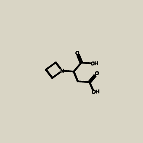 O=C(O)CC(C(=O)O)N1CCC1